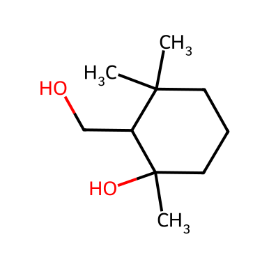 CC1(C)CCCC(C)(O)C1CO